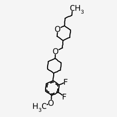 CCCC1CCC(COC2CCC(c3ccc(OC)c(F)c3F)CC2)CO1